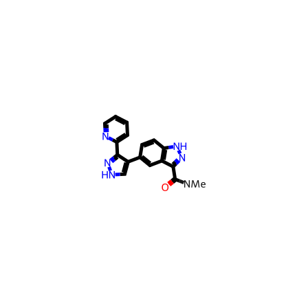 CNC(=O)c1n[nH]c2ccc(-c3c[nH]nc3-c3ccccn3)cc12